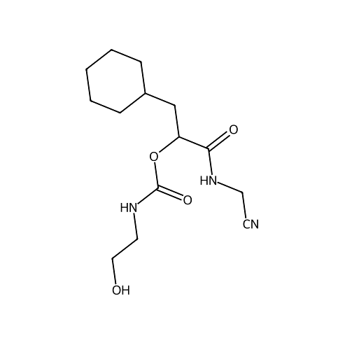 N#CCNC(=O)C(CC1CCCCC1)OC(=O)NCCO